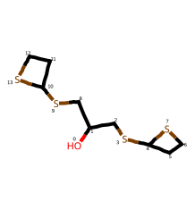 OC(CSC1CCS1)CSC1CCS1